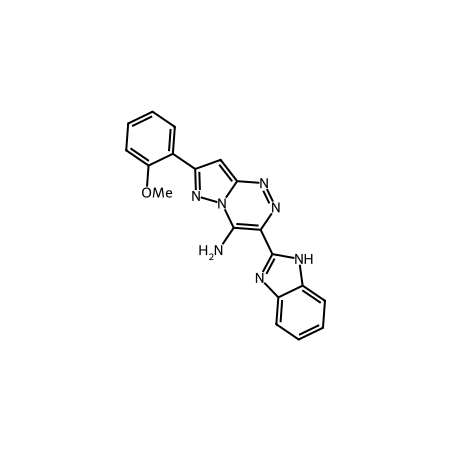 COc1ccccc1-c1cc2nnc(-c3nc4ccccc4[nH]3)c(N)n2n1